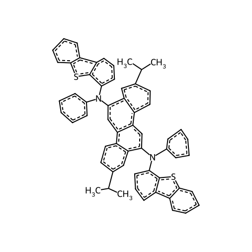 CC(C)c1ccc2c(c1)c(N(c1ccccc1)c1cccc3c1sc1ccccc13)cc1c3ccc(C(C)C)cc3c(N(c3ccccc3)c3cccc4c3sc3ccccc34)cc21